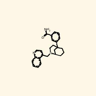 NC(=O)c1cccc(C23CCCC(C2)N(Cc2ccnc4ccccc24)CC3)c1